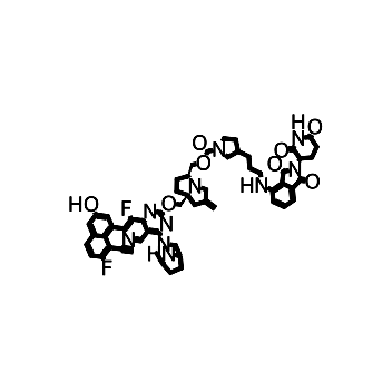 C#Cc1c(F)ccc2cc(O)cc(-c3ncc4c(N5CC6CCC(C5)N6)nc(OC[C@@]56CC[C@@H](COC(=O)N7CCC(CCCNc8cccc9c8C(=O)N(C8CCC(=O)NC8=O)C9=O)C7)N5CC(=C)C6)nc4c3F)c12